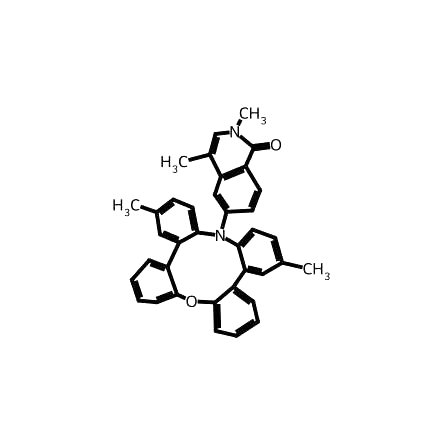 Cc1ccc2c(c1)-c1ccccc1Oc1ccccc1-c1cc(C)ccc1N2c1ccc2c(=O)n(C)cc(C)c2c1